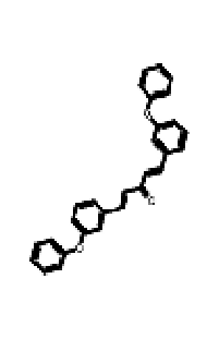 O=C(/C=C/c1cccc(Oc2ccccc2)c1)/C=C/c1cccc(Oc2ccccc2)c1